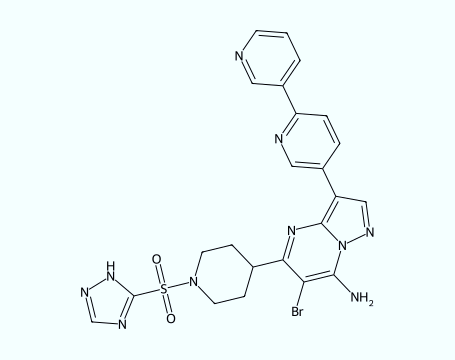 Nc1c(Br)c(C2CCN(S(=O)(=O)c3ncn[nH]3)CC2)nc2c(-c3ccc(-c4cccnc4)nc3)cnn12